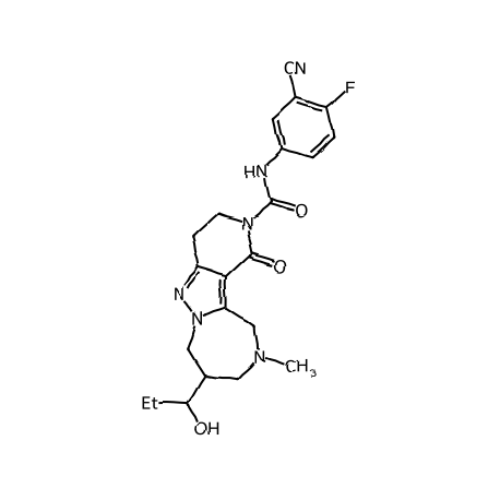 CCC(O)C1CN(C)Cc2c3c(nn2C1)CCN(C(=O)Nc1ccc(F)c(C#N)c1)C3=O